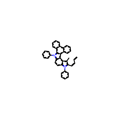 C=C/C=C\c1c(C)c2c3c4c5ccccc5c5ccccc5c4n(-c4ccccc4)c3ccc2n1-c1ccccc1